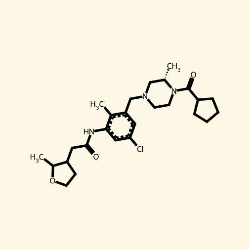 Cc1c(CN2CCN(C(=O)C3CCCC3)[C@@H](C)C2)cc(Cl)cc1NC(=O)CC1CCOC1C